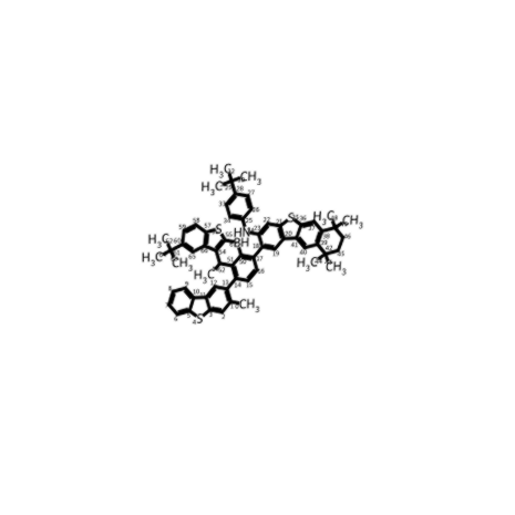 Cc1cc2sc3ccccc3c2cc1-c1ccc(-c2cc3c(cc2Nc2ccc(C(C)(C)C)cc2)sc2cc4c(cc23)C(C)(C)CCC4(C)C)c2c1C(C)c1c(sc3ccc(C(C)(C)C)cc13)B2